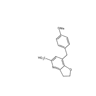 COc1ccc(Cc2cc(C(=O)O)nc3c2OCC3)cc1